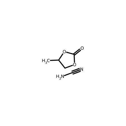 CC1COC(=O)O1.N#CN